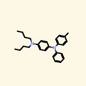 CCCCN(CCCC)c1ccc(N(c2ccccc2)c2ccc(C)cc2)cc1